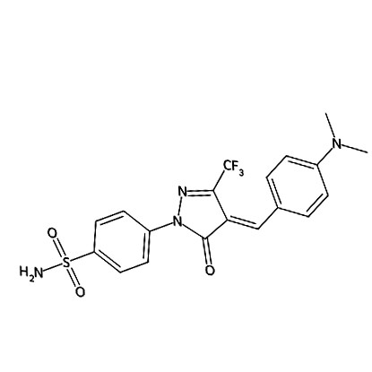 CN(C)c1ccc(C=C2C(=O)N(c3ccc(S(N)(=O)=O)cc3)N=C2C(F)(F)F)cc1